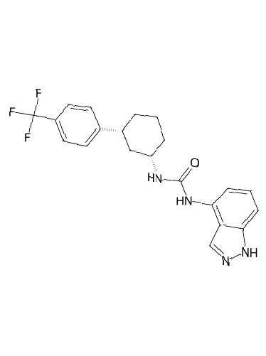 O=C(Nc1cccc2[nH]ncc12)N[C@H]1CCC[C@@H](c2ccc(C(F)(F)F)cc2)C1